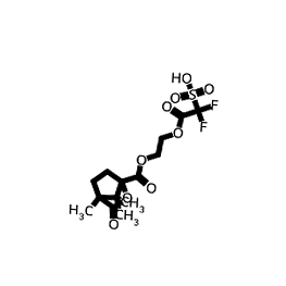 CC12CCC(C(=O)OCCOC(=O)C(F)(F)S(=O)(=O)O)(OC1=O)C2(C)C